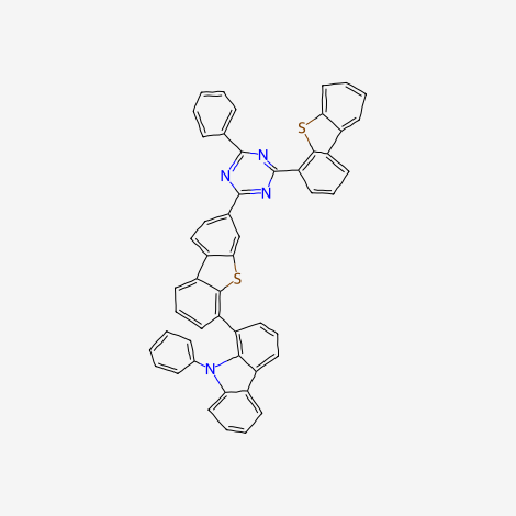 c1ccc(-c2nc(-c3ccc4c(c3)sc3c(-c5cccc6c7ccccc7n(-c7ccccc7)c56)cccc34)nc(-c3cccc4c3sc3ccccc34)n2)cc1